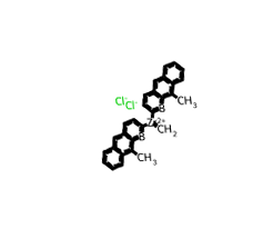 [CH2]=[Zr+2]([c]1bc2c(C)c3ccccc3cc2cc1)[c]1bc2c(C)c3ccccc3cc2cc1.[Cl-].[Cl-]